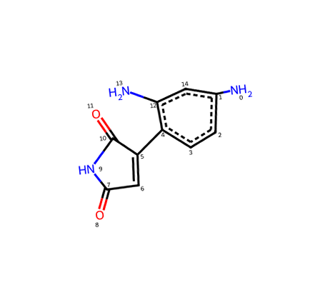 Nc1ccc(C2=CC(=O)NC2=O)c(N)c1